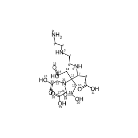 NCCNCCNC(CC(=O)O)C(CC(=O)O)(CC(=O)O)N(CC(=O)O)CC(=O)O